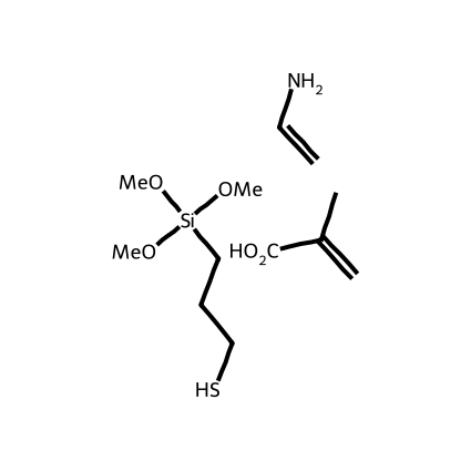 C=C(C)C(=O)O.C=CN.CO[Si](CCCS)(OC)OC